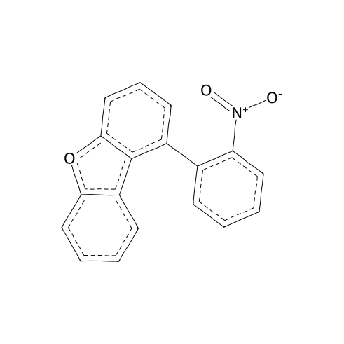 O=[N+]([O-])c1ccccc1-c1cccc2oc3ccccc3c12